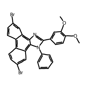 COc1ccc(-c2nc3c4cc(Br)ccc4c4ccc(Br)cc4c3n2-c2ccccc2)cc1OC